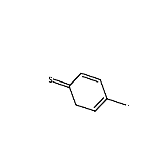 [CH2]C1=CCC(=S)C=C1